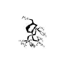 CCc1ccc([Si](C[Si](C)(C)C)(C[Si](C)(C)C)C[Si](C)(C)C)cc1